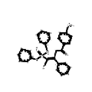 COc1ccc(C(=O)C/C(=C(/F)P(=O)(Oc2ccccc2)Oc2ccccc2)c2ccccc2)cc1